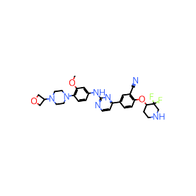 COc1cc(Nc2nccc(-c3ccc(OC4CCNCC4(F)F)c(C#N)c3)n2)ccc1N1CCN(C2COC2)CC1